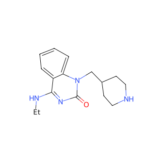 CCNc1nc(=O)n(CC2CCNCC2)c2ccccc12